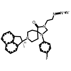 C[C@@]1(N2CCC3(CC2)C(=O)N(CCN=[N+]=[N-])CN3c2ccc(F)cc2)Cc2cccc3cccc1c23